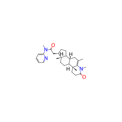 CC1=C2N(C)C(=O)CC[C@]2(C)[C@H]2CC[C@]3(C)[C@@H](CC(=O)N(C)c4ccccn4)CC[C@H]3[C@@H]2C1